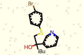 CCC(C)C(O)(CSc1ccc(Br)cc1)c1cccnc1